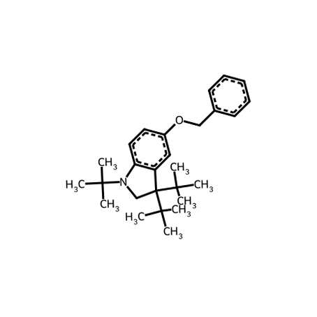 CC(C)(C)N1CC(C(C)(C)C)(C(C)(C)C)c2cc(OCc3ccccc3)ccc21